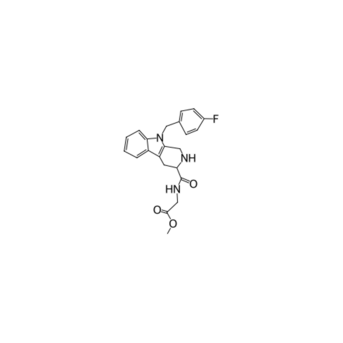 COC(=O)CNC(=O)C1Cc2c(n(Cc3ccc(F)cc3)c3ccccc23)CN1